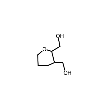 OCC1CCCOC1CO